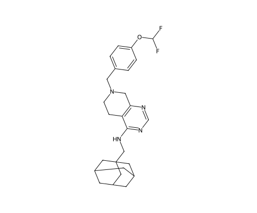 FC(F)Oc1ccc(CN2CCc3c(ncnc3NCC34CC5CC(CC(C5)C3)C4)C2)cc1